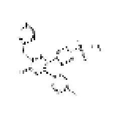 CS(=O)(=O)c1ccc(-c2nn(Cc3ccncc3)c(=O)cc2-c2ccc(F)cc2)cc1